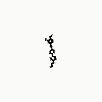 CCCC[C@H]1CC[C@H]([C@H]2CC[C@H](C#Cc3ccc(CC)c(F)c3)CC2)CC1